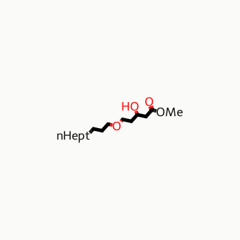 CCCCCCCCCCOCCC(O)CC(=O)OC